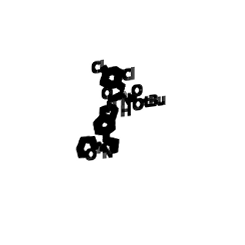 CC(C)(C)OC(=O)N[C@H](Cc1ccc(Cl)cc1Cl)C(=O)N1Cc2ccc(-c3ccnn3C3CCCCO3)cc2C1